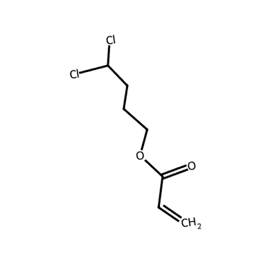 C=CC(=O)OCCCC(Cl)Cl